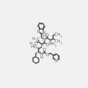 CCC(C)[C@H](N)C(=O)N(Cc1nc2ccccc2[nH]1)C(=O)[C@@H](C[C@H](O)[C@H](CC1CCCCC1)NC(=O)OCc1cccnc1)C(C)C